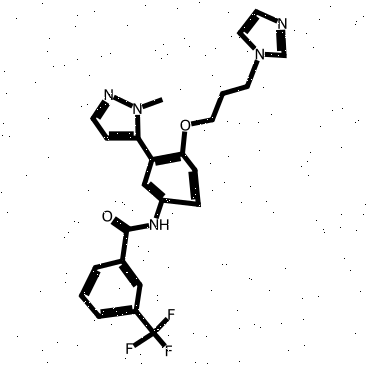 Cn1nccc1-c1cc(NC(=O)c2cccc(C(F)(F)F)c2)ccc1OCCCn1ccnc1